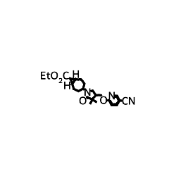 CCOC(=O)C1[C@H]2CCC(N3CC(COc4ccc(C#N)cn4)C(C)(C)C3=O)CC[C@@H]12